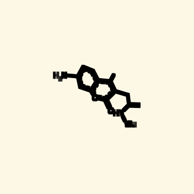 C=C(Cc1c(C)c2ccc(N)cc2oc1=O)NC(C)(C)C